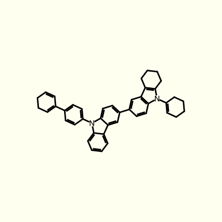 C1=CC(c2ccc(-n3c4ccccc4c4cc(-c5ccc6c(c5)c5c(n6C6=CCCCC6)CCCC5)ccc43)cc2)=CCC1